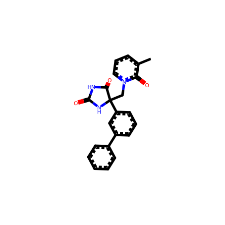 Cc1cccn(CC2(c3cccc(-c4ccccc4)c3)NC(=O)NC2=O)c1=O